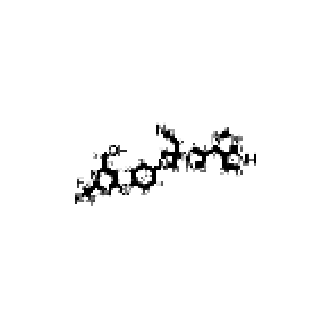 N#CCC1(n2cc(-c3ncnc4[nH]ccc34)cn2)CN(C2CCC(Oc3cc(CO)nc(C(F)(F)F)n3)CC2)C1